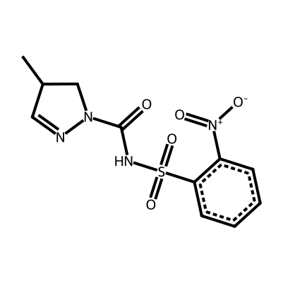 CC1C=NN(C(=O)NS(=O)(=O)c2ccccc2[N+](=O)[O-])C1